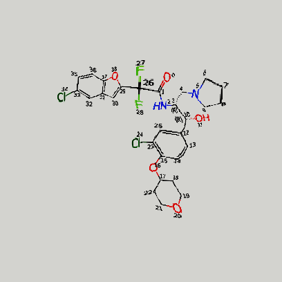 O=C(N[C@H](CN1CCCC1)[C@H](O)c1ccc(OC2CCOCC2)c(Cl)c1)C(F)(F)c1cc2cc(Cl)ccc2o1